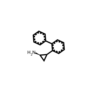 N[C@@H]1CC1c1ccccc1-c1ccccc1